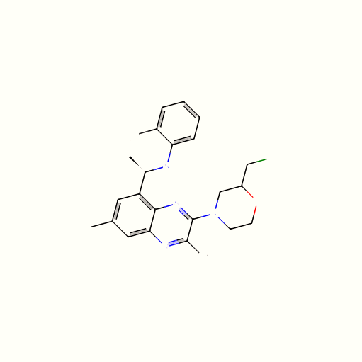 Cc1cc([C@@H](C)Nc2ccccc2C(=O)O)c2nc(N3CCOC(CF)C3)c(C#N)nc2c1